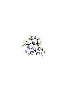 CC(C)(C)n1nc(C(F)F)c2c1C(F)(F)CCC2(F)F